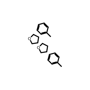 C1CCOC1.C1CCOC1.Cc1ccccc1.Cc1ccccc1